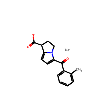 Cc1ccccc1C(=O)c1ccc2n1CCC2C(=O)[O-].[Na+]